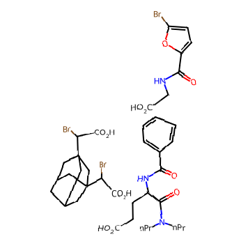 CCCN(CCC)C(=O)C(CCC(=O)O)NC(=O)c1ccccc1.O=C(O)C(Br)C12CC3CC(C1)CC(C(Br)C(=O)O)(C3)C2.O=C(O)CNC(=O)c1ccc(Br)o1